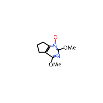 COc1nc(OC)[n+]([O-])c2c1CCC2